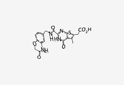 Cc1c(CC(=O)O)sc2nc(C(=O)NCc3ccc4c(c3)NC(=O)CO4)[nH]c(=O)c12